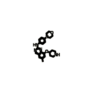 Cc1cc(OC2CCNCC2)c2nc(Nc3ccc(N4CCOCC4)cc3)ncc2c1